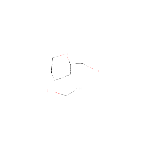 CCO.OCC1CCCCO1